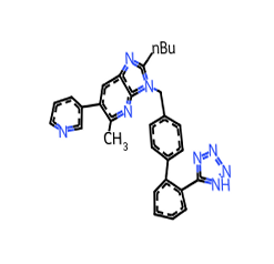 CCCCc1nc2cc(-c3cccnc3)c(C)nc2n1Cc1ccc(-c2ccccc2-c2nnn[nH]2)cc1